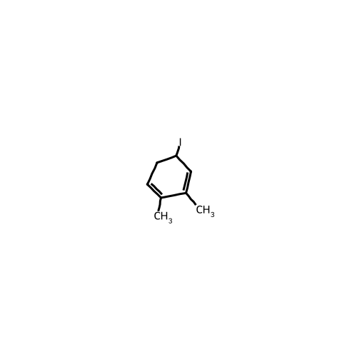 CC1=CCC(I)C=C1C